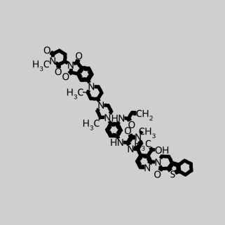 C=CC(=O)Nc1cc(Nc2nc(-c3ccnc(N4CCc5c(sc6c5CCCC6)C4=O)c3C(C)O)cn(C)c2=O)ccc1N1CCN(C2CCN(c3ccc4c(c3)C(=O)N(C3CCC(=O)N(C)C3=O)C4=O)[C@@H](C)C2)C[C@@H]1C